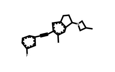 Cc1cc2c(cc1C#Cc1cccc(F)c1)CCC2N1CC(C)C1